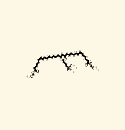 CCOC(=O)CCCC/C=C\CCCCCCCCC(CCCCCCCC/C=C\CCCCC(=O)OCC)OC(=O)CCCN(C)C